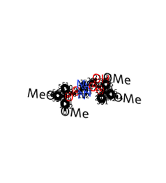 COc1ccc(C(OCCOc2ncnc3c2ncn3[C@H]2CC(O)[C@@H](COC(c3ccccc3)(c3ccc(OC)cc3)c3ccc(OC)cc3)O2)(c2ccccc2)c2ccc(OC)cc2)cc1